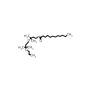 C=CCOC(C)(C)CCOC(C)(C)CCNC(=O)CCCCCCCCCCC